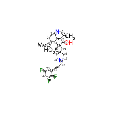 COc1ccc2ncc(C)c(C(O)CCC3(C(=O)O)CCN(CC#Cc4cc(F)cc(F)c4F)CC3)c2c1